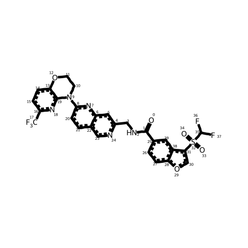 O=C(NCc1cc2nc(N3CCOc4ccc(C(F)(F)F)nc43)ccc2cn1)c1ccc2occ(S(=O)(=O)C(F)F)c2c1